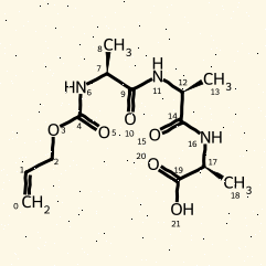 C=CCOC(=O)N[C@@H](C)C(=O)N[C@@H](C)C(=O)N[C@@H](C)C(=O)O